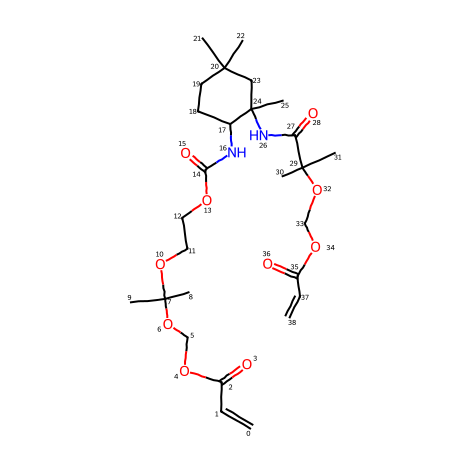 C=CC(=O)OCOC(C)(C)OCCOC(=O)NC1CCC(C)(C)CC1(C)NC(=O)C(C)(C)OCOC(=O)C=C